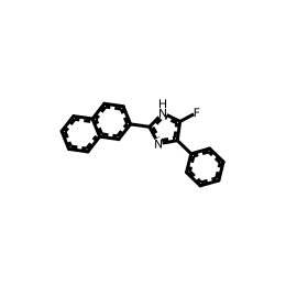 Fc1[nH]c(-c2ccc3ccccc3c2)nc1-c1ccccc1